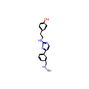 CC(C)(C)NCc1cccc(-c2ccnc(NCCc3ccc(O)cc3)n2)c1